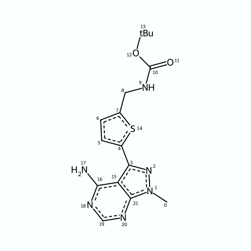 Cn1nc(-c2ccc(CNC(=O)OC(C)(C)C)s2)c2c(N)ncnc21